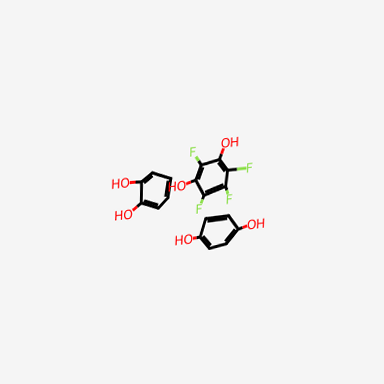 Oc1c(F)c(O)c(F)c(F)c1F.Oc1ccc(O)cc1.Oc1ccccc1O